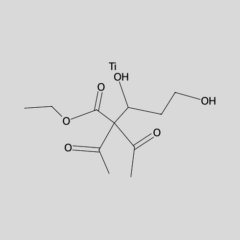 CCOC(=O)C(C(C)=O)(C(C)=O)C(O)CCO.[Ti]